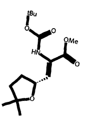 COC(=O)/C(=C/[C@H]1CCC(C)(C)O1)NC(=O)OC(C)(C)C